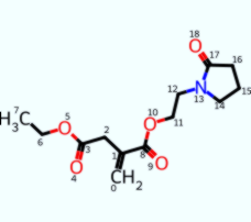 C=C(CC(=O)OCC)C(=O)OCCN1CCCC1=O